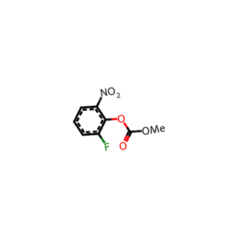 COC(=O)Oc1c(F)cccc1[N+](=O)[O-]